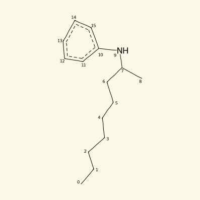 CCCCCCCC(C)Nc1ccccc1